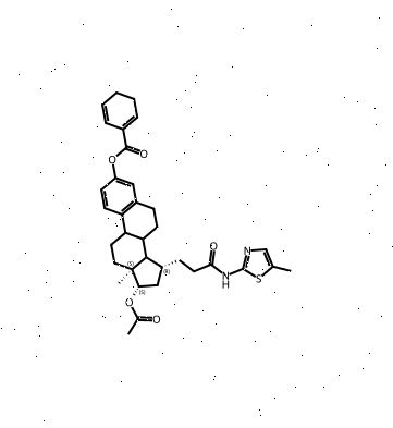 CC(=O)O[C@H]1C[C@@H](CCC(=O)Nc2ncc(C)s2)C2C3CCc4cc(OC(=O)C5=CCCC=C5)ccc4C3CC[C@@]21C